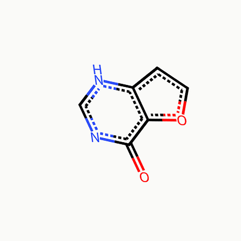 O=c1nc[nH]c2ccoc12